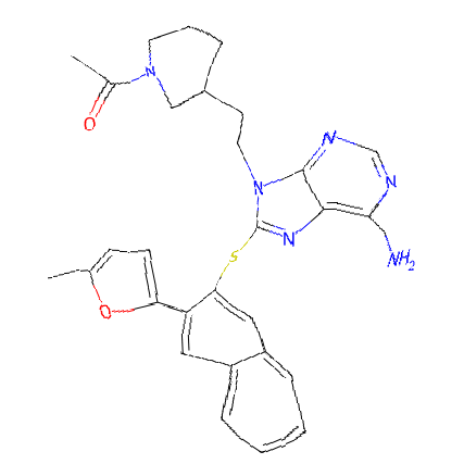 CC(=O)N1CCCC(CCn2c(Sc3cc4ccccc4cc3-c3ccc(C)o3)nc3c(N)ncnc32)C1